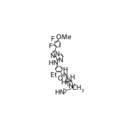 CCc1cc(Nc2nccn3c(-c4ccc(OC)c(F)c4F)cnc23)ccc1C(=O)N[C@H]1[C@@H]2C[N+](C)(CC3CNC3)C[C@@H]21